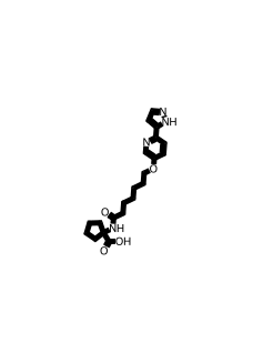 O=C(CCCCCCOc1ccc(-c2ccn[nH]2)nc1)NC1(C(=O)O)CCCC1